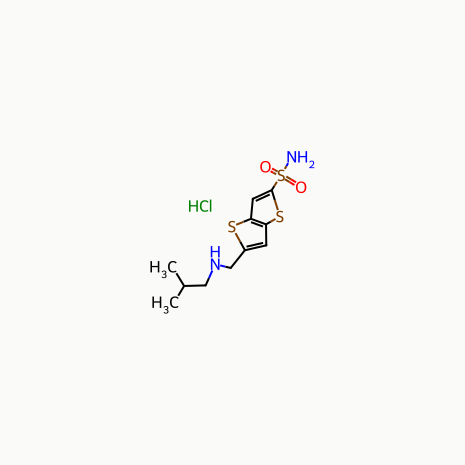 CC(C)CNCc1cc2sc(S(N)(=O)=O)cc2s1.Cl